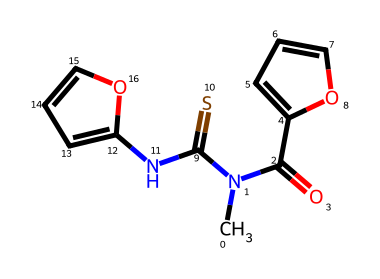 CN(C(=O)c1ccco1)C(=S)Nc1ccco1